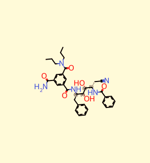 CCCN(CCC)C(=O)c1cc(C(N)=O)cc(C(=O)N[C@H](Cc2ccccc2)[C@@H](O)[C@H](O)[C@H](CC#N)NC(=O)c2ccccc2)c1